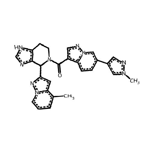 Cc1cccn2nc(C3c4nc[nH]c4CCN3C(=O)c3cnn4cc(-c5cnn(C)c5)ccc34)cc12